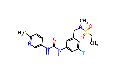 CCS(=O)(=O)N(C)Cc1cc(F)cc(NC(=O)Nc2ccc(C)nc2)c1